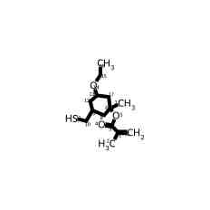 C=C(C)C(=O)OC1(C)CC(CS)CC(OCC)C1